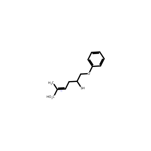 C/C(=C\CC(S)COc1ccccc1)C(=O)O